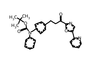 CC(C)(C)OC(=O)N(c1ccccc1)c1ccc(CCC(=O)c2ncc(-c3ccccn3)o2)cc1